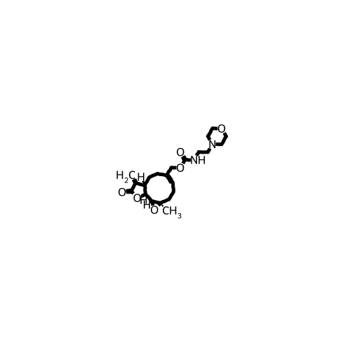 C=C1C(=O)O[C@H]2[C@H]1CC/C(COC(=O)NCCN1CCOCC1)=C\CC[C@@]1(C)O[C@@H]21